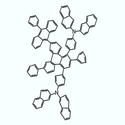 c1ccc(-c2ccc3c(c2)c2cc(-c4c5ccccc5c(-c5ccccc5)c5ccccc45)ccc2c2c(-c4ccc(N(c5ccc6ccccc6c5)c5ccc6ccccc6c5)cc4)c(-c4ccccc4)cc(-c4ccc(N(c5ccc6ccccc6c5)c5ccc6ccccc6c5)cc4)c32)cc1